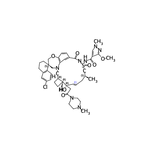 COc1nn(C)cc1C(=O)NS1(=O)=NC(=O)c2ccc3c(c2)N(C[C@@H]2CC[C@H]2[C@](O)(CC(=O)N2CCN(C)CC2)/C=C/C[C@H](C)C1)C[C@@]1(CCCc2cc(Cl)ccc21)CO3